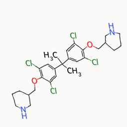 CC(C)(c1cc(Cl)c(OCC2CCCNC2)c(Cl)c1)c1cc(Cl)c(OCC2CCCNC2)c(Cl)c1